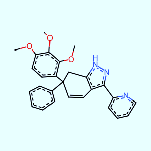 COc1ccc(C2(c3ccccc3)C=Cc3c(-c4ccccn4)n[nH]c3C2)c(OC)c1OC